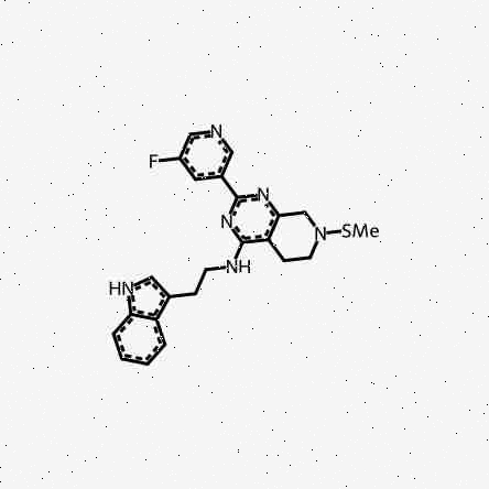 CSN1CCc2c(nc(-c3cncc(F)c3)nc2NCCc2c[nH]c3ccccc23)C1